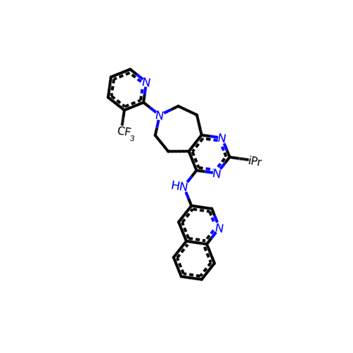 CC(C)c1nc2c(c(Nc3cnc4ccccc4c3)n1)CCN(c1ncccc1C(F)(F)F)CC2